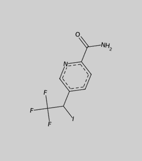 NC(=O)c1ccc(C(I)C(F)(F)F)cn1